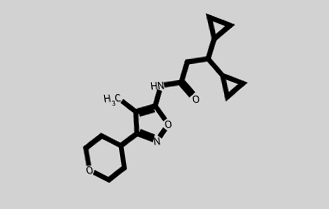 Cc1c(C2CCOCC2)noc1NC(=O)CC(C1CC1)C1CC1